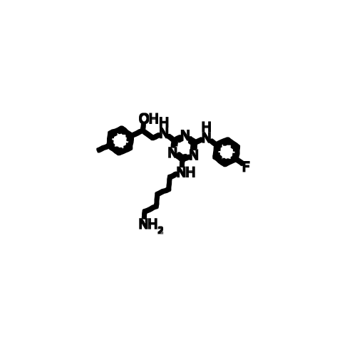 Cc1ccc(C(O)CNc2nc(NCCCCCN)nc(Nc3ccc(F)cc3)n2)cc1